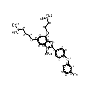 CCCCn1c(-c2ccc(Oc3cccc(Cl)c3)cc2)nc2c(OCCN(CC)CC)cc(OCCCN(CC)CC)cc21